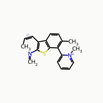 C=Nc1sc2c(-c3cccc[n+]3C)c(C)ccc2c1/C=C\C